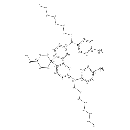 CCCCCCCCC(c1ccc(N)cc1)c1ccc(C2(c3ccc(C(CCCCCCCC)c4ccc(N)cc4)cc3)CCC(CC)CC2)cc1